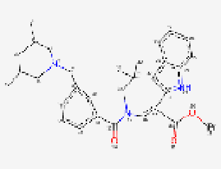 CC1CC(C)CN(Cc2cccc(C(=O)N3C=C(C(=O)OC(C)C)c4[nH]c5ccccc5c4C(C)(C)C3)c2)C1